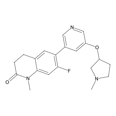 CN1CCC(Oc2cncc(-c3cc4c(cc3F)N(C)C(=O)CC4)c2)C1